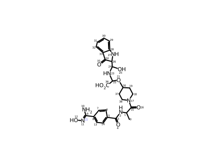 CC(NC(=O)c1ccc(/C(N)=N/O)cc1)C(=O)N1CCC(OC(NC(O)C2Nc3ccccc3C2=O)C(=O)O)CC1